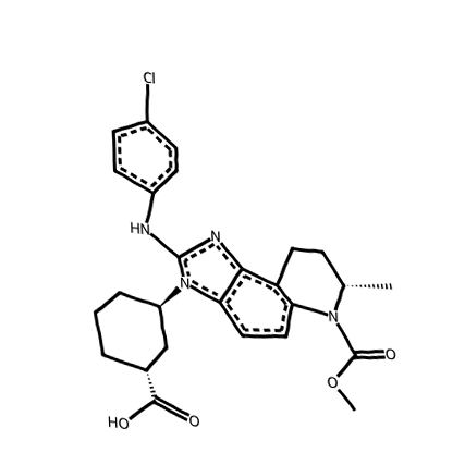 COC(=O)N1c2ccc3c(nc(Nc4ccc(Cl)cc4)n3[C@@H]3CCC[C@@H](C(=O)O)C3)c2CC[C@@H]1C